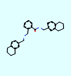 O=C(NCc1ccc2c(c1)CCCC2)c1ccccc1CNCc1ccc2c(c1)CCCC2